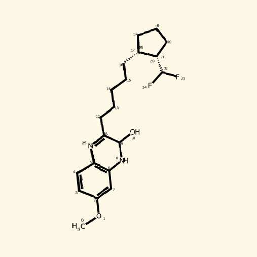 COc1ccc2c(c1)NC(O)C(CCCCC[C@@H]1CCC[C@@H]1C(F)F)=N2